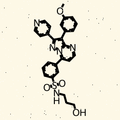 COc1cccc(-c2c(-c3ccncc3)nn3c(-c4cccc(S(=O)(=O)NCCCO)c4)ccnc23)c1